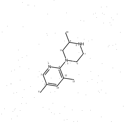 Cc1cnc(N2CCNC(C)C2)c(C)c1